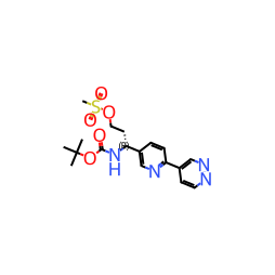 CC(C)(C)OC(=O)N[C@H](CCOS(C)(=O)=O)c1ccc(-c2ccnnc2)nc1